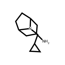 NC1CC2CCC(C1)N2CC1CC1